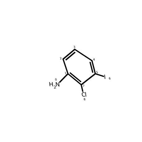 Nc1cccc(I)c1Cl